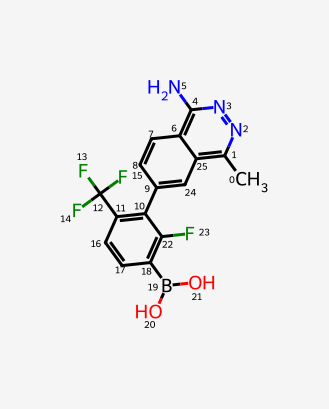 Cc1nnc(N)c2ccc(-c3c(C(F)(F)F)ccc(B(O)O)c3F)cc12